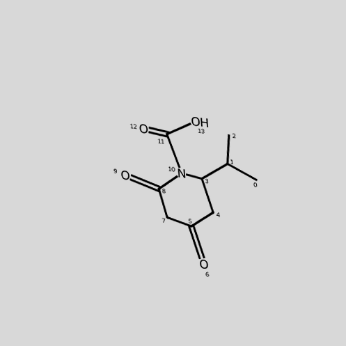 CC(C)C1CC(=O)CC(=O)N1C(=O)O